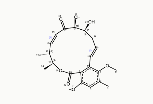 COc1c(C)cc(O)c2c1/C=C/C[C@H](O)[C@H](O)C(=O)/C=C\[C@@H](C)[C@H](C)OC2=O